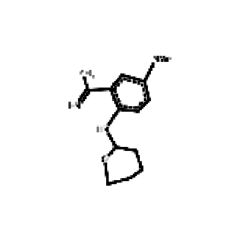 CNc1ccc(NC2CCCCO2)c(C(C)=N)c1